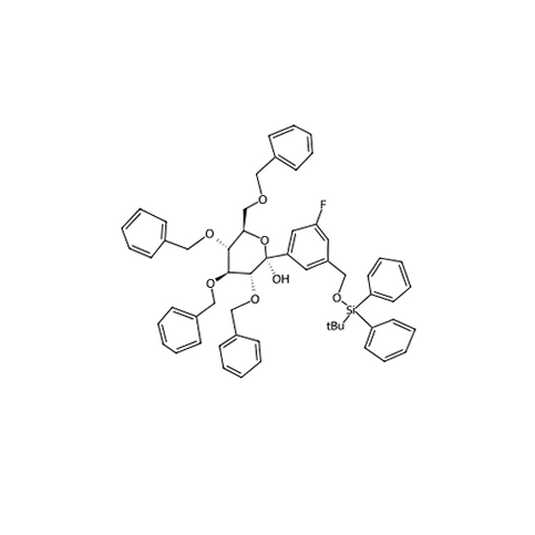 CC(C)(C)[Si](OCc1cc(F)cc([C@]2(O)O[C@H](COCc3ccccc3)[C@@H](OCc3ccccc3)[C@H](OCc3ccccc3)[C@H]2OCc2ccccc2)c1)(c1ccccc1)c1ccccc1